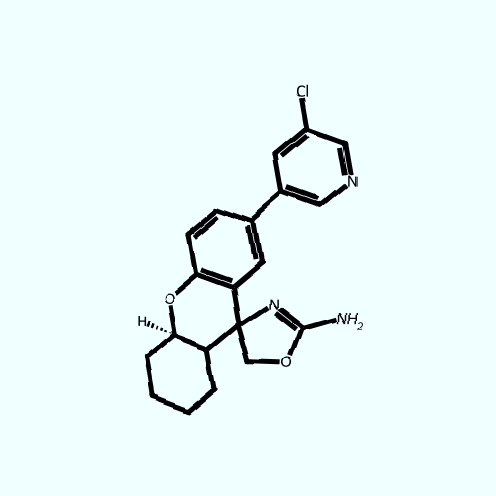 NC1=NC2(CO1)c1cc(-c3cncc(Cl)c3)ccc1O[C@@H]1CCCCC12